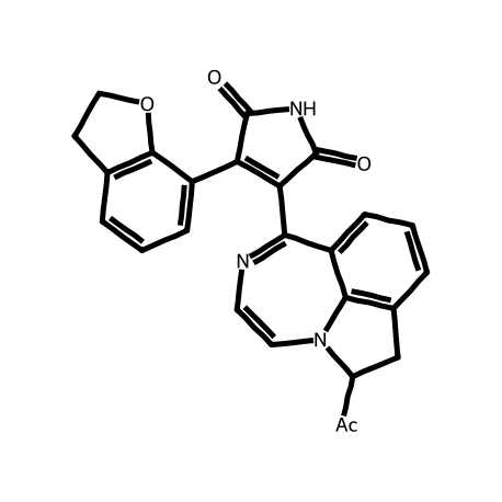 CC(=O)C1Cc2cccc3c2N1C=CN=C3C1=C(c2cccc3c2OCC3)C(=O)NC1=O